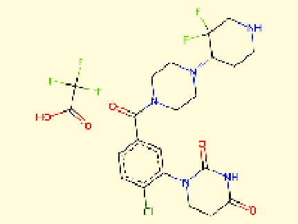 O=C(O)C(F)(F)F.O=C1CCN(c2cc(C(=O)N3CCN([C@H]4CCNCC4(F)F)CC3)ccc2Cl)C(=O)N1